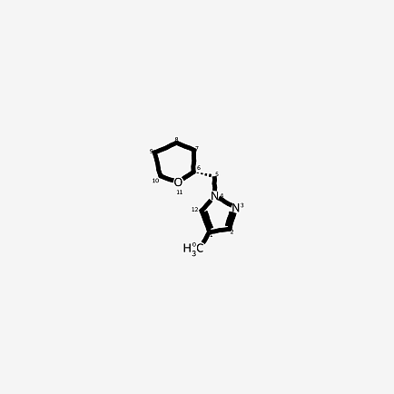 Cc1cnn(C[C@H]2CCCCO2)c1